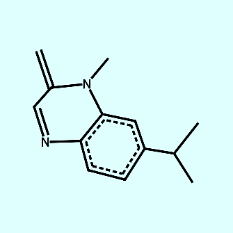 C=C1C=Nc2ccc(C(C)C)cc2N1C